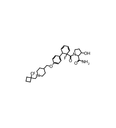 NC(=O)C1C(O)CCN1C(=O)C1(F)C=CC=CC1c1ccc(OCC2CCN(CC3(C(F)(F)F)CCC3)CC2)cc1